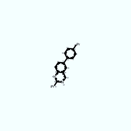 CC(C)c1ccc(-c2ccc3nc(C(C)C)ncc3c2)cc1